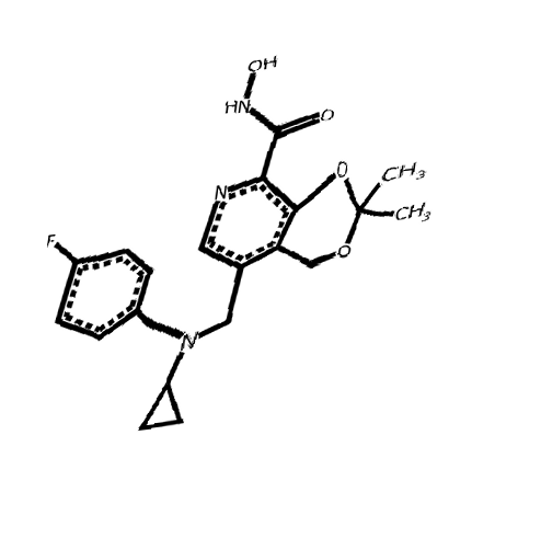 CC1(C)OCc2c(CN(c3ccc(F)cc3)C3CC3)cnc(C(=O)NO)c2O1